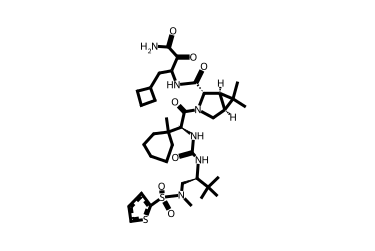 CN(C[C@@H](NC(=O)N[C@H](C(=O)N1C[C@H]2[C@@H]([C@H]1C(=O)NC(CC1CCC1)C(=O)C(N)=O)C2(C)C)C1(C)CCCCC1)C(C)(C)C)S(=O)(=O)c1cccs1